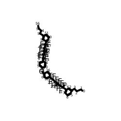 CCCCc1cccc(C(F)(F)C(F)(F)C(F)(F)C(F)(F)C(F)(F)c2ccc(Oc3ccc(C(F)(F)C(F)(F)C(F)(F)C(F)(F)C(F)(F)c4cccc(CCCC)c4)cc3)cc2)c1